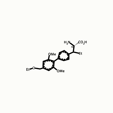 CCOCc1cc(OC)c(-c2ccc(C(CC)[C@H](N)C(=O)O)cc2)c(OC)c1